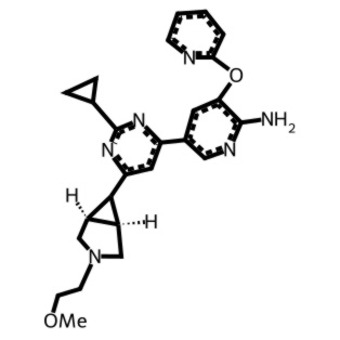 COCCN1C[C@@H]2C(c3cc(-c4cnc(N)c(Oc5ccccn5)c4)nc(C4CC4)n3)[C@@H]2C1